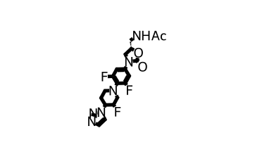 CC(=O)NC[C@H]1CN(c2cc(F)c(N3CCC(n4ccnn4)C(F)C3)c(F)c2)C(=O)O1